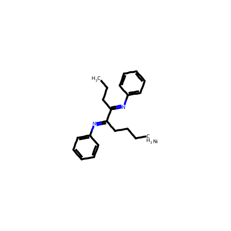 CCCCC(=N\c1ccccc1)/C(CCC)=N/c1ccccc1.[Ni]